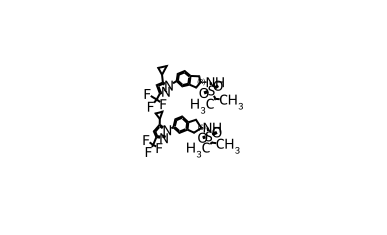 CC(C)S(=O)(=O)N[C@@H]1Cc2ccc(-n3nc(C(F)(F)F)cc3C3CC3)cc2C1.CC(C)S(=O)(=O)N[C@H]1Cc2ccc(-n3nc(C(F)(F)F)cc3C3CC3)cc2C1